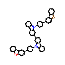 c1ccc2c(c1)oc1ccc(-c3ccc(-n4c5ccccc5c5ccc(-c6ccc7c8ccccc8n(-c8ccc(-c9ccc%10sc%11ccccc%11c%10c9)cc8)c7c6)cc54)cc3)cc12